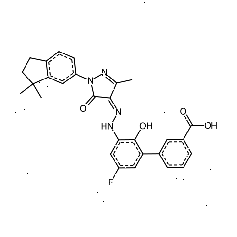 CC1=NN(c2ccc3c(c2)C(C)(C)CC3)C(=O)/C1=N\Nc1cc(F)cc(-c2cccc(C(=O)O)c2)c1O